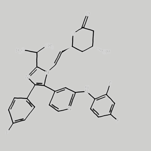 CC(C)c1nc(-c2ccc(F)cc2)c(-c2ccnc(Nc3ccc(F)cc3F)c2)n1/C=C/[C@@H]1C[C@@H](O)CC(=O)O1